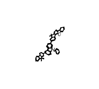 CC1(C)c2ccccc2-c2ccc(-c3ccc4c(c3)c3ccc(-c5ccc6c(c5)C(C)(C)c5ccc7c(oc8ccccc87)c5-6)cc3n4-c3ccccc3)cc21